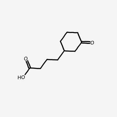 O=C(O)CCCC1CCCC(=O)C1